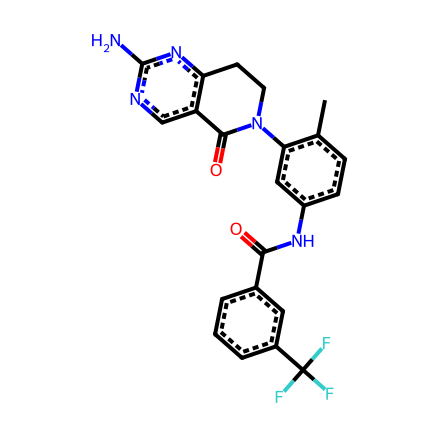 Cc1ccc(NC(=O)c2cccc(C(F)(F)F)c2)cc1N1CCc2nc(N)ncc2C1=O